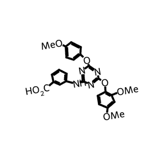 COc1ccc(Oc2nc(Nc3cccc(C(=O)O)c3)nc(Oc3ccc(OC)cc3OC)n2)cc1